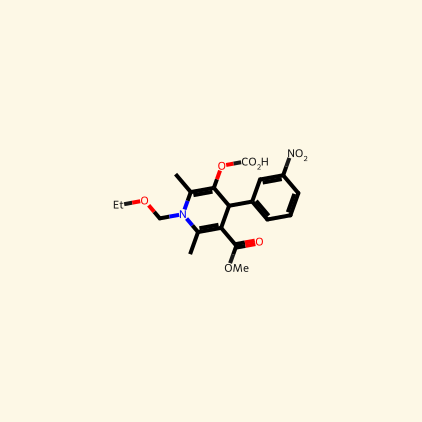 CCOCN1C(C)=C(OC(=O)O)C(c2cccc([N+](=O)[O-])c2)C(C(=O)OC)=C1C